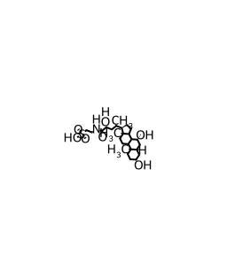 C[C@H](CC(O)C(=O)NCCS(=O)(=O)O)[C@H]1CCC2C3C(CC[C@@]21C)[C@@]1(C)CC[C@@H](O)C[C@H]1C[C@H]3O